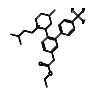 CCOC(=O)Cc1ccc(C2CC(C)CCN2CCC(C)C)c(-c2ccc(C(F)(F)F)cc2)c1